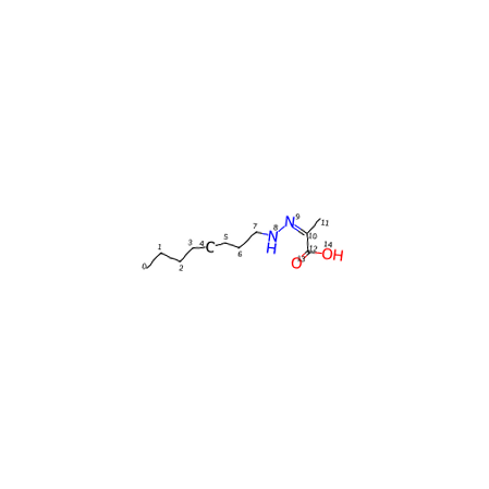 CCCCCCCCNN=C(C)C(=O)O